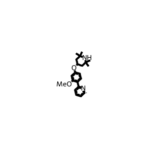 COc1cc(OC2CC(C)(C)NC(C)(C)C2)ccc1-c1ccc[c]n1